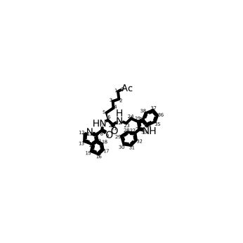 CC(=O)CCCCC[C@H](NC(=O)c1nccc2ccccc12)C(=O)NCCc1c(-c2ccccc2)[nH]c2ccccc12